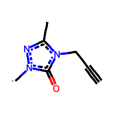 C#CCn1c(C)nn([CH2])c1=O